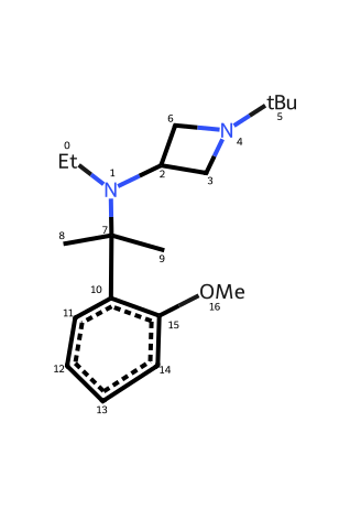 CCN(C1CN(C(C)(C)C)C1)C(C)(C)c1ccccc1OC